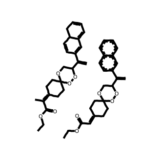 C=C(C1=CC2=CC=CCC2C=C1)C1COC2(CCC(=C(C)C(=O)OCC)CC2)OO1.C=C(c1ccc2ccccc2c1)C1COC2(CCC(=CC(=O)OCC)CC2)OO1